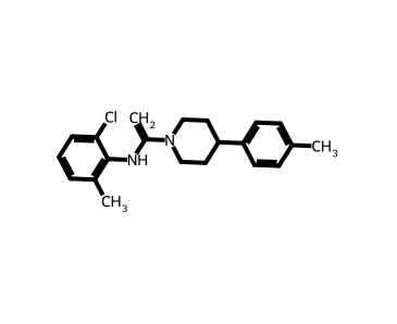 C=C(Nc1c(C)cccc1Cl)N1CCC(c2ccc(C)cc2)CC1